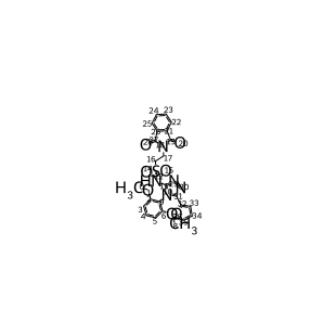 COc1cccc(OC)c1-n1c(NS(=O)(=O)CCN2C(=O)c3ccccc3C2=O)nnc1-c1ccco1